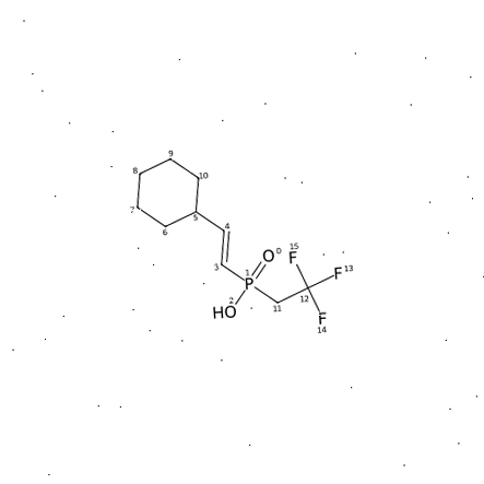 O=P(O)(C=CC1CCCCC1)CC(F)(F)F